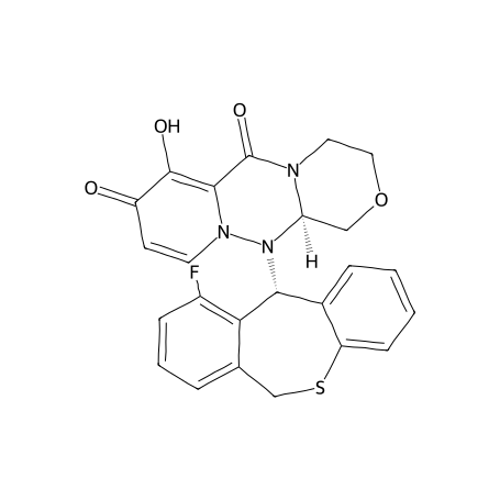 O=C1c2c(O)c(=O)ccn2N([C@@H]2c3ccccc3SCc3cccc(F)c32)[C@@H]2COCCN12